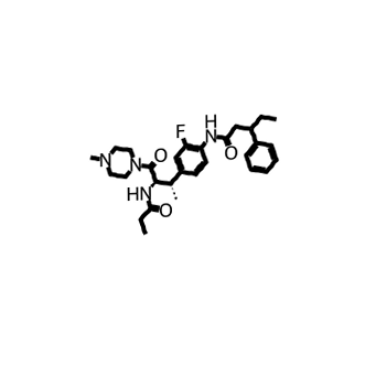 CCC(=O)N[C@@H](C(=O)N1CCN(C)CC1)[C@@H](C)c1ccc(NC(=O)CC(CC)c2ccccc2)c(F)c1